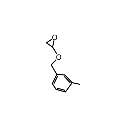 Cc1cccc(COC2CO2)c1